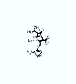 C[C@@H](O)C1C(=O)N2C(C(=O)[O-])=C(CSc3nnnn3N)S[C@H]12.[Na+]